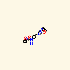 O=C(Cc1noc2ccccc12)NC1CCC(CCN2CCN(c3nccc4c3OCC4)CC2)CC1